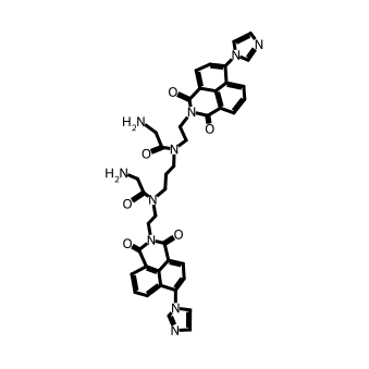 NCC(=O)N(CCCN(CCN1C(=O)c2cccc3c(-n4ccnc4)ccc(c23)C1=O)C(=O)CN)CCN1C(=O)c2cccc3c(-n4ccnc4)ccc(c23)C1=O